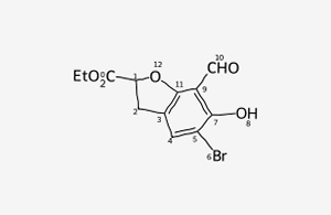 CCOC(=O)C1Cc2cc(Br)c(O)c(C=O)c2O1